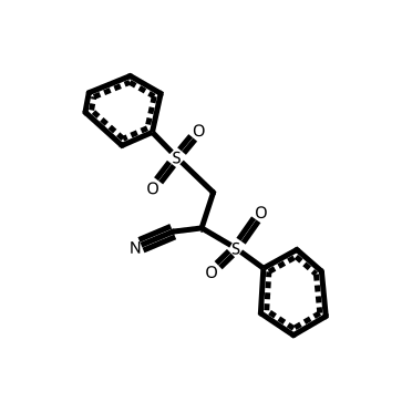 N#C[C](CS(=O)(=O)c1ccccc1)S(=O)(=O)c1ccccc1